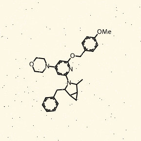 COc1ccc(COc2cc(N3CCOCC3)cc(N3C(C)C4CC4C3Cc3ccccc3)n2)cc1